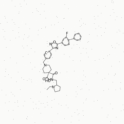 CCN1CCCC1CNC(=O)C1(C(=O)O)CCN(Cc2ccc(-c3noc(-c4ccc(-c5ccccc5)c(F)c4)n3)cc2)CC1